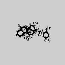 CC(C)[C@H]1CC[C@H](C)C[C@@H]1OC(=O)O[C@@]1(C(=O)O)[C@H](C)C[C@H]2[C@@H]3C[C@H](F)C4=CC(=O)C=C[C@]4(C)C3(F)[C@@H](O)C[C@@]21C